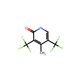 CC1=C(C(F)(F)F)C(=O)[N][C]=C1C(F)(F)F